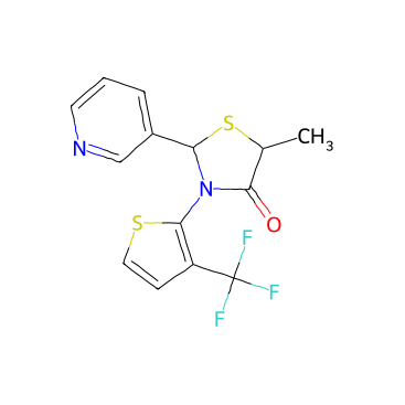 CC1SC(c2cccnc2)N(c2sccc2C(F)(F)F)C1=O